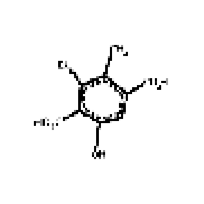 CCc1c(C)c(C(=O)O)cc(O)c1C(=O)O